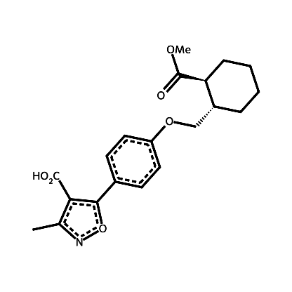 COC(=O)[C@H]1CCCC[C@@H]1COc1ccc(-c2onc(C)c2C(=O)O)cc1